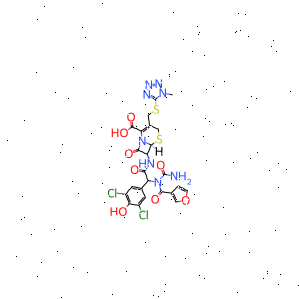 Cn1nnnc1SCC1=C(C(=O)O)N2C(=O)[C@H](NC(=O)C(c3cc(Cl)c(O)c(Cl)c3)N(C(N)=O)C(=O)c3ccoc3)[C@@H]2SC1